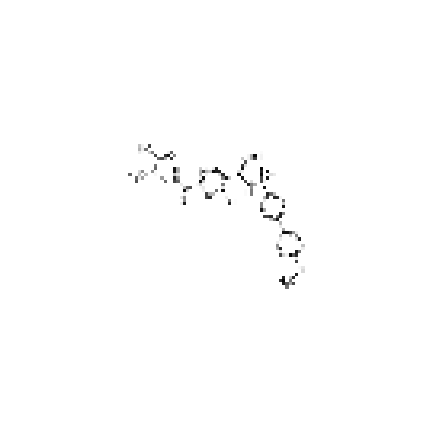 COc1ccc(-c2ccc(C3(NC(=O)c4cnc(C(=O)NCC(C)C(=O)O)nc4O)CC3)cc2)cn1.Cl